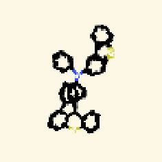 c1ccc(N(c2ccc(C34c5ccccc5Sc5cccc(c53)-c3ccccc34)cc2)c2ccc3sc4ccccc4c3c2)cc1